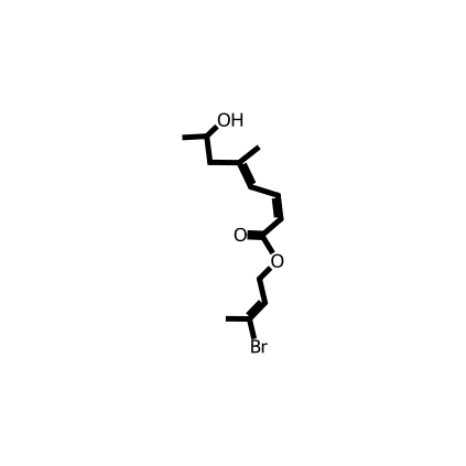 C/C(Br)=C\COC(=O)/C=C\C=C(/C)CC(C)O